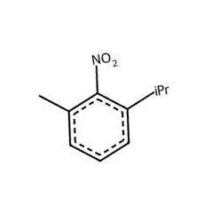 [CH2]C(C)c1cccc(C)c1[N+](=O)[O-]